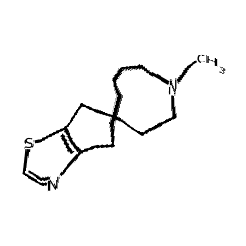 CN1CCC2(CC1)Cc1ncsc1C2